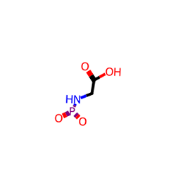 O=C(O)CNP(=O)=O